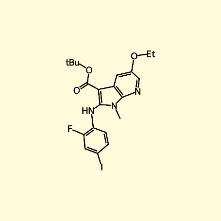 CCOc1cnc2c(c1)c(C(=O)OC(C)(C)C)c(Nc1ccc(I)cc1F)n2C